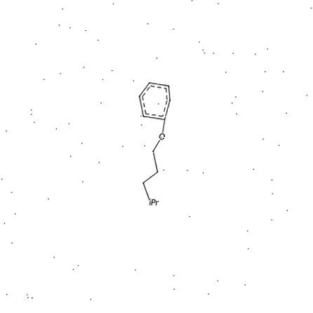 CC(C)CCCOc1[c]cccc1